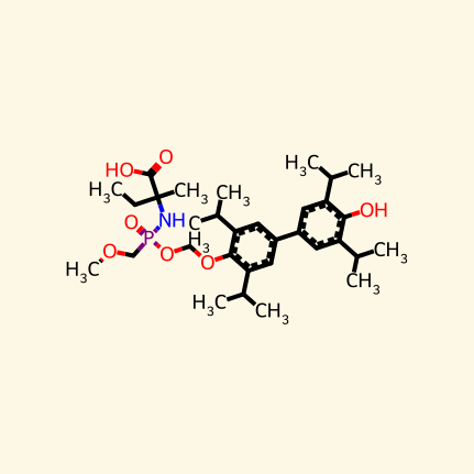 CCC(C)(NP(=O)(COC)OCOc1c(C(C)C)cc(-c2cc(C(C)C)c(O)c(C(C)C)c2)cc1C(C)C)C(=O)O